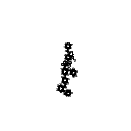 Cc1cc(S(=O)(=O)NC(=O)c2ccc(N3CCN(Cc4ccccc4N4CC5CCC=C4C5)CC3)cc2Oc2ccccc2)ccc1NCC1=CCOC=C1